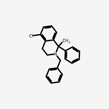 CC1(c2ccccc2)c2cccc(Cl)c2CCN1Cc1ccccc1